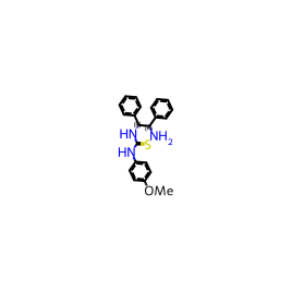 COc1ccc(NC(=S)N[C@H](c2ccccc2)[C@H](N)c2ccccc2)cc1